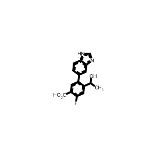 CC(O)c1cc(F)c(C(=O)O)cc1-c1ccc2[nH]cnc2c1